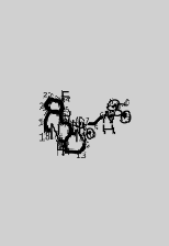 CS(=O)(=O)NCCCS(=O)(=O)N1CCC[C@H]2CN3CCc4ccc(F)cc4[C@@H]3C[C@H]21